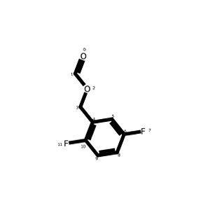 O=COCc1cc(F)ccc1F